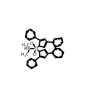 C[SiH](C)[Ti]([Cl])([Cl])([CH]1C=C(c2ccccc2)C=C1c1ccccc1)[CH]1C=C(c2ccccc2)C=C1c1ccccc1